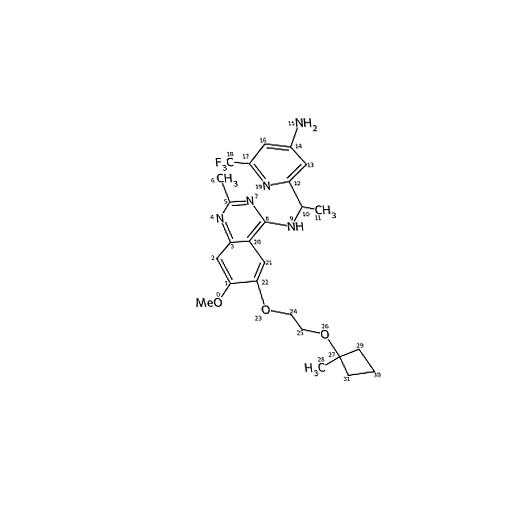 COc1cc2nc(C)nc(NC(C)c3cc(N)cc(C(F)(F)F)n3)c2cc1OCCOC1(C)CCC1